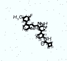 Cc1cc(F)cc(-c2cncc3[nH]c(-c4n[nH]c5ncc(-c6cncc(NC(=O)C7CCC7)c6)cc45)cc23)c1